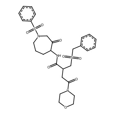 O=C(NC1CCCN(S(=O)(=O)c2ccccc2)CC1=O)C(CC(=O)N1CCOCC1)CS(=O)(=O)Cc1ccccc1